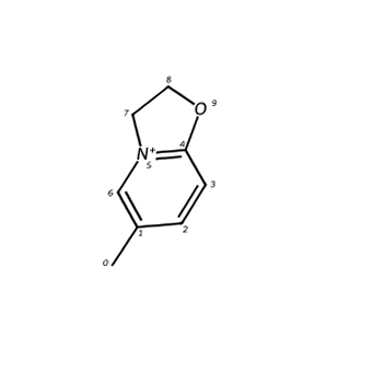 Cc1ccc2[n+](c1)CCO2